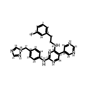 Fc1cccc(CCNc2nc(Nc3ccc(Cn4cncn4)cc3)ncc2-c2cncnc2)c1